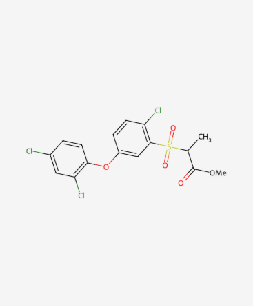 COC(=O)C(C)S(=O)(=O)c1cc(Oc2ccc(Cl)cc2Cl)ccc1Cl